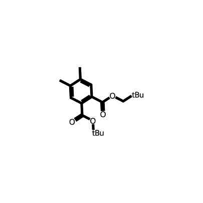 Cc1cc(C(=O)OCC(C)(C)C)c(C(=O)OC(C)(C)C)cc1C